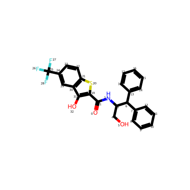 O=C(NC(CO)C(c1ccccc1)c1ccccc1)c1sc2ccc(C(F)(F)F)cc2c1O